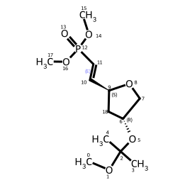 COC(C)(C)O[C@H]1CO[C@H](/C=C/P(=O)(OC)OC)C1